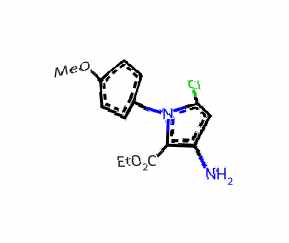 CCOC(=O)c1c(N)cc(Cl)n1-c1ccc(OC)cc1